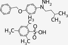 CC(C)CCN(N)c1ccc(OCc2ccccc2)cc1.Cc1cc(C)c(S(=O)(=O)O)c(C)c1